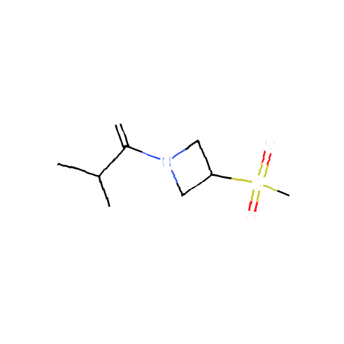 C=C(C(C)C)N1CC(S(C)(=O)=O)C1